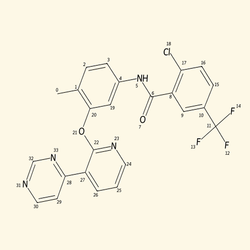 Cc1ccc(NC(=O)c2cc(C(F)(F)F)ccc2Cl)cc1Oc1ncccc1-c1ccncn1